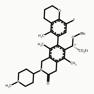 CCOC(=O)[C@@H](OC(C)(C)C)c1c(C)c2c(c(C)c1-c1cc(F)c3c(c1C)CCCO3)CN(C1CCN(C)CC1)C(=O)C2